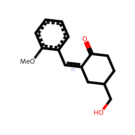 COc1ccccc1/C=C1/CC(CO)CCC1=O